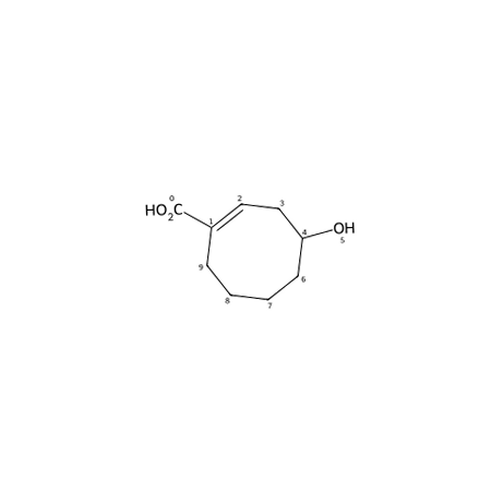 O=C(O)/C1=C/CC(O)CCCC1